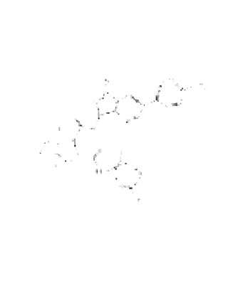 CC(=O)c1nn(CC(=O)N2[C@H](C(=O)Nc3nc(Br)ccc3C)C[C@@]3(C)CC[C@@H]23)c2ccc(-c3cnc(C)nc3)cc12